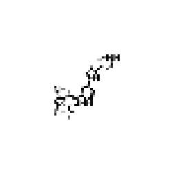 Cc1cc(C)c(/C=C2\C(=O)Nc3ccc(-c4csc(C5CCNCC5)n4)cc32)[nH]1